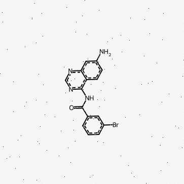 Nc1ccc2c(NC(=O)c3cccc(Br)c3)ncnc2c1